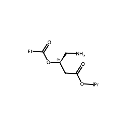 CCC(=O)O[C@@H](CN)CC(=O)OC(C)C